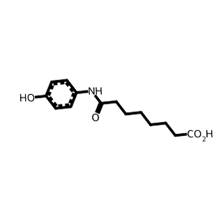 O=C(O)CCCCCCC(=O)Nc1ccc(O)cc1